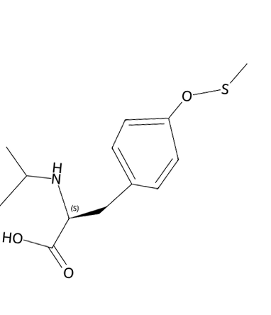 CSOc1ccc(C[C@H](NC(C)C)C(=O)O)cc1